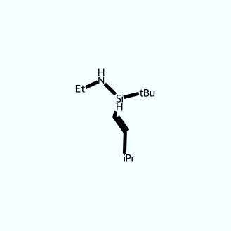 CCN[SiH](C=CC(C)C)C(C)(C)C